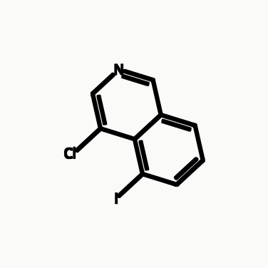 Clc1cncc2cccc(I)c12